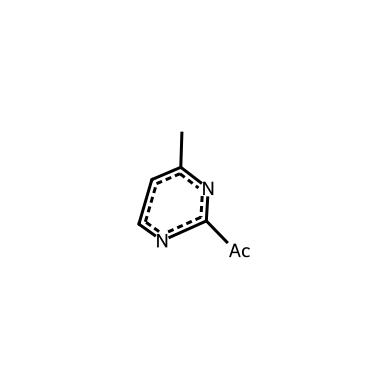 CC(=O)c1nccc(C)n1